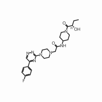 CC[C@@H](O)C(=O)N1CCC(NC(=O)CN2CCN(c3nncc(-c4ccc(F)cc4)n3)CC2)CC1